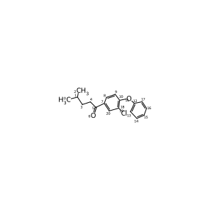 CC(C)CCC(=O)c1ccc(Oc2ccccc2)c(Cl)c1